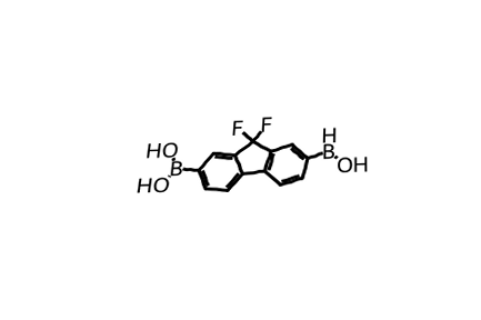 OBc1ccc2c(c1)C(F)(F)c1cc(B(O)O)ccc1-2